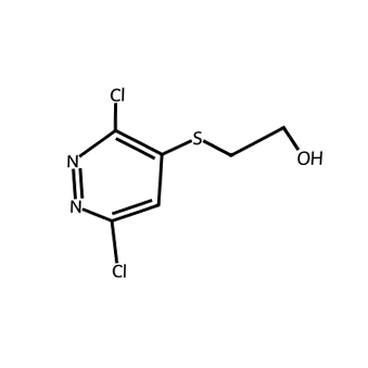 OCCSc1cc(Cl)nnc1Cl